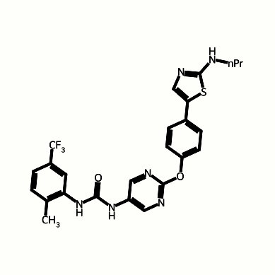 CCCNc1ncc(-c2ccc(Oc3ncc(NC(=O)Nc4cc(C(F)(F)F)ccc4C)cn3)cc2)s1